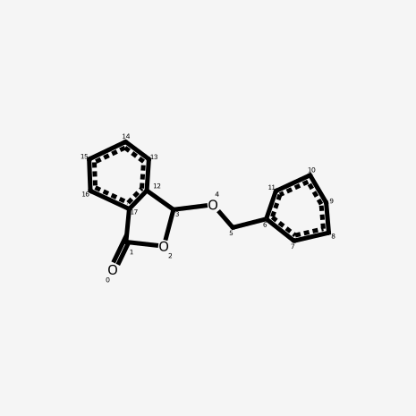 O=C1OC(OCc2ccccc2)c2ccccc21